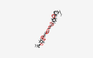 C#COc1ccc(CC(=O)OCCOCCOCCOC(=O)Cc2ccc(OCC)cc2)cc1